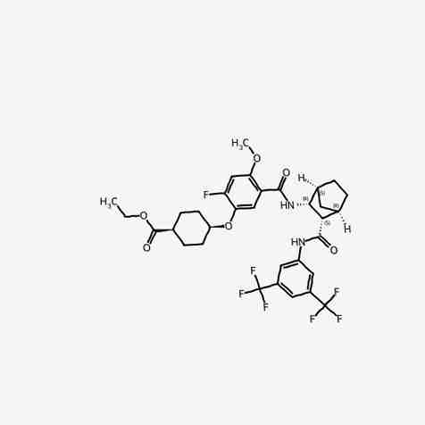 CCOC(=O)[C@H]1CC[C@@H](Oc2cc(C(=O)N[C@@H]3[C@H]4CC[C@H](C4)[C@@H]3C(=O)Nc3cc(C(F)(F)F)cc(C(F)(F)F)c3)c(OC)cc2F)CC1